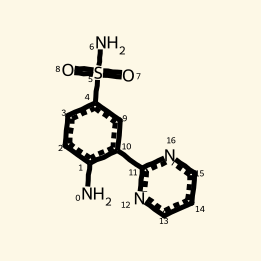 Nc1ccc(S(N)(=O)=O)cc1-c1ncccn1